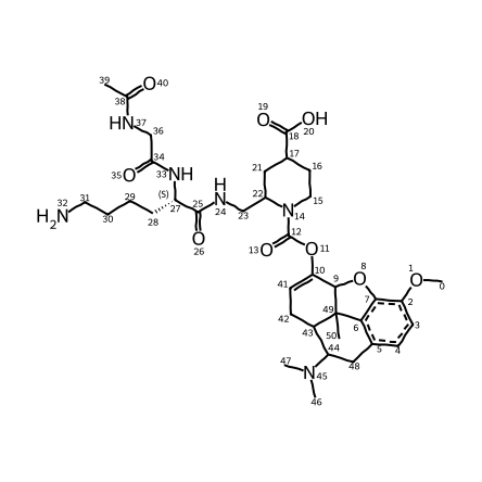 COc1ccc2c3c1OC1C(OC(=O)N4CCC(C(=O)O)CC4CNC(=O)[C@H](CCCCN)NC(=O)CNC(C)=O)=CCC(C(N(C)C)C2)C31C